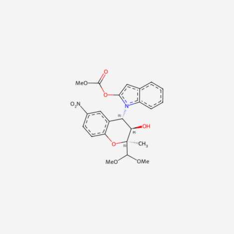 COC(=O)Oc1cc2ccccc2n1[C@H]1c2cc([N+](=O)[O-])ccc2O[C@](C)(C(OC)OC)[C@@H]1O